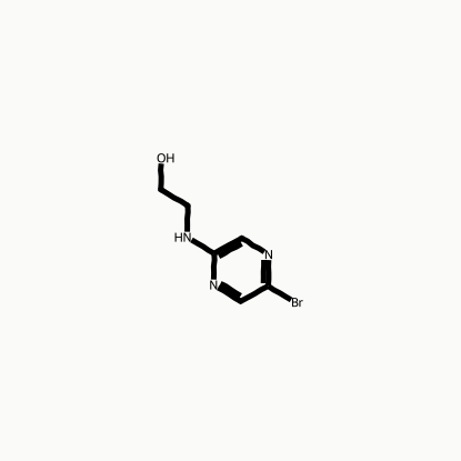 OCCNc1cnc(Br)cn1